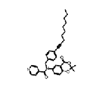 CCCCCCCCC#Cc1ccc(CN(C(=O)c2ccncc2)c2ccc3c(c2)C(=O)OC(C)(C)O3)cc1